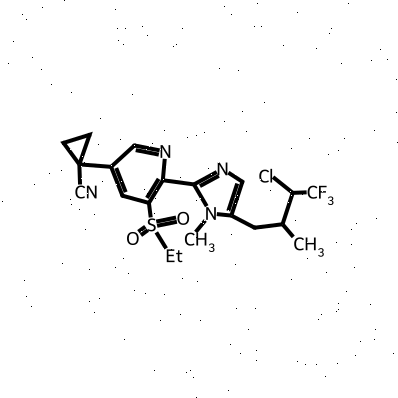 CCS(=O)(=O)c1cc(C2(C#N)CC2)cnc1-c1ncc(CC(C)C(Cl)C(F)(F)F)n1C